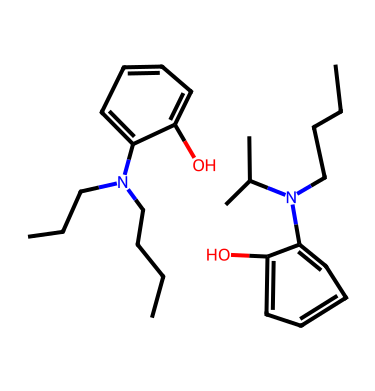 CCCCN(CCC)c1ccccc1O.CCCCN(c1ccccc1O)C(C)C